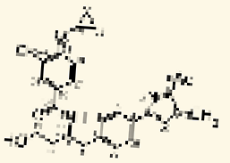 CC(=O)c1nc(-c2ccc(C[C@@H](CCO)NC(=O)c3ccc(OC4CC4)c(Cl)c3)cc2)cn1C